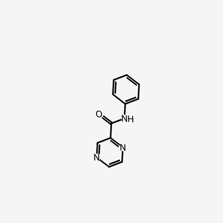 O=C(Nc1ccccc1)c1cnccn1